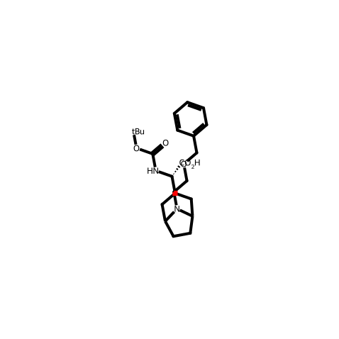 CC(C)(C)OC(=O)N[C@H](C(=O)O)C1CC2CCC(C1)N2CCOCc1ccccc1